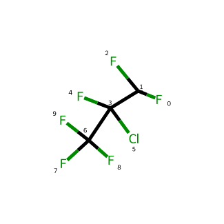 F[C](F)C(F)(Cl)C(F)(F)F